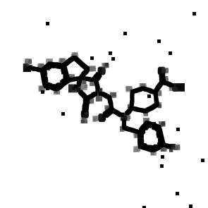 O=C(O)C1CCC(N(Cc2ccc(F)cc2)C(=O)CN2C(=O)NC3(CCc4cc(Br)ccc43)C2=O)CC1